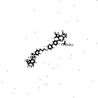 COC(=O)C[C@@H]1N=C(c2ccc(-c3ccc(OCCCc4ccc(S(=O)(=O)Nc5ccc(C)c6c(C#N)c[nH]c56)cc4)cc3)cc2)c2c(sc(C)c2C)-n2c(C)nnc21